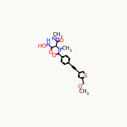 CNC(=O)C(C(=O)NO)N(C)C(=O)c1ccc(C#Cc2csc(COC)c2)cc1